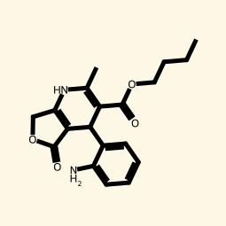 CCCCOC(=O)C1=C(C)NC2=C(C(=O)OC2)C1c1ccccc1N